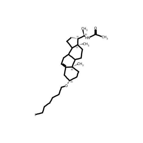 CC(=O)N[C@H](C)[C@H]1CCC2C3CC=C4C[C@@H](OCCCCCCI)CC[C@]4(C)C3CC[C@@]21C